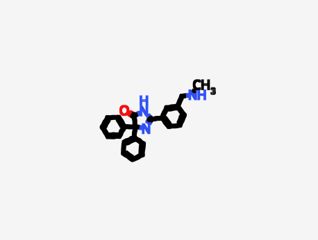 CNCc1cccc(C2=NC(c3ccccc3)(c3ccccc3)C(=O)N2)c1